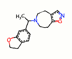 CC(c1ccc2c(c1)OCC2)N1CCc2cnoc2CC1